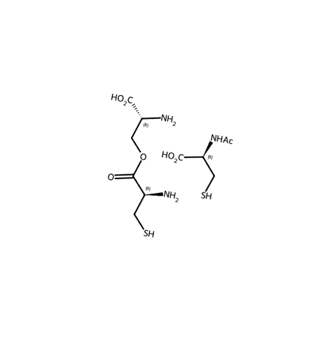 CC(=O)N[C@@H](CS)C(=O)O.N[C@H](COC(=O)[C@@H](N)CS)C(=O)O